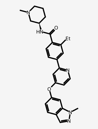 CCc1cc(-c2cc(Oc3ccc4cnn(C)c4c3)ccn2)ccc1C(=O)N[C@@H]1CCCN(C)C1